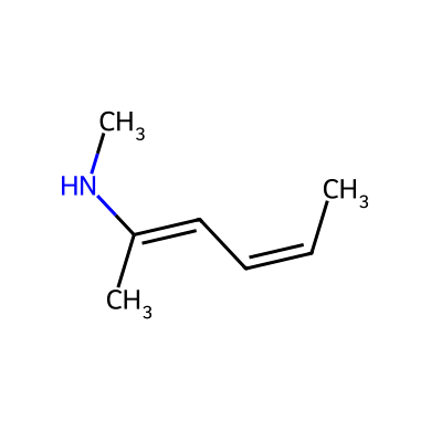 C/C=C\C=C(/C)NC